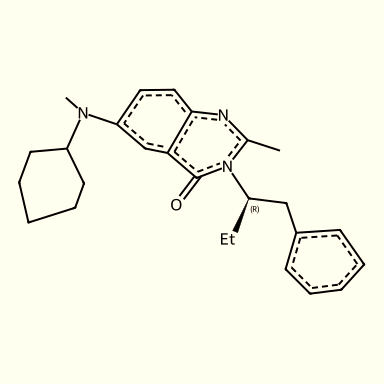 CC[C@H](Cc1ccccc1)n1c(C)nc2ccc(N(C)C3CCCCC3)cc2c1=O